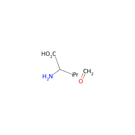 C=O.CC(C)C(N)C(=O)O